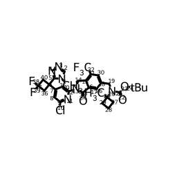 Cn1cnnc1C1(c2cc(Cl)nc(N3Cc4c(cc(CN(C(=O)OC(C)(C)C)C5(C)CCC5)cc4C(F)(F)F)C3=O)c2)CC(F)(F)C1